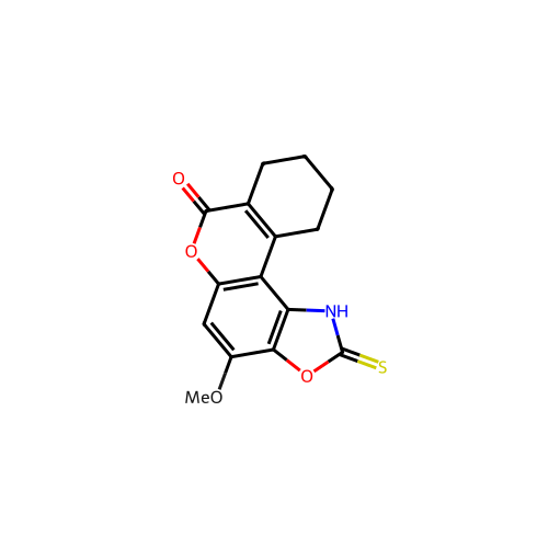 COc1cc2oc(=O)c3c(c2c2[nH]c(=S)oc12)CCCC3